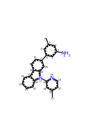 Cc1cc(N)cc(-c2ccc3c4ccccc4n(-c4cc(C)ccn4)c3c2)c1